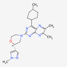 Cc1nc2nc(N3CCO[C@@H](c4cnn(C)c4)C3)nc(C3CCC(C)CC3)c2nc1C